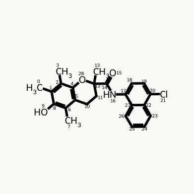 Cc1c(C)c2c(c(C)c1O)CCC(C)(C(=O)Nc1ccc(Cl)c3ccccc13)O2